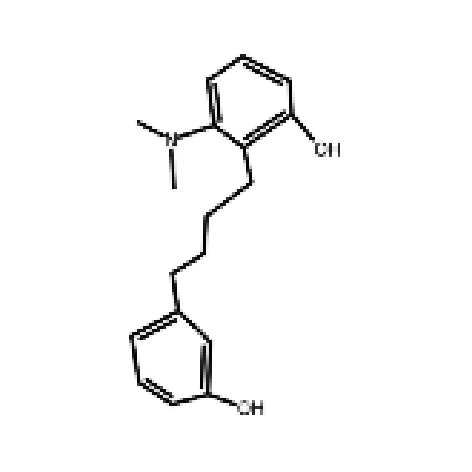 CN(C)c1cccc(O)c1CCCCc1cccc(O)c1